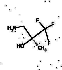 C[C@](O)(CN)C(F)(F)F